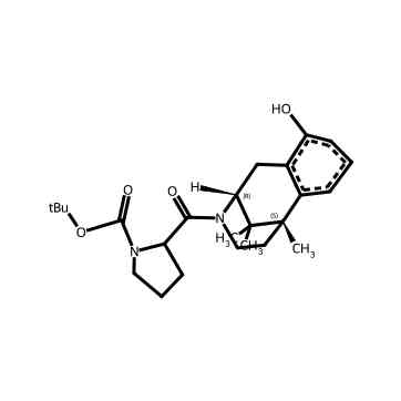 CC(C)(C)OC(=O)N1CCCC1C(=O)N1CC[C@@]2(C)c3cccc(O)c3C[C@@H]1C2(C)C